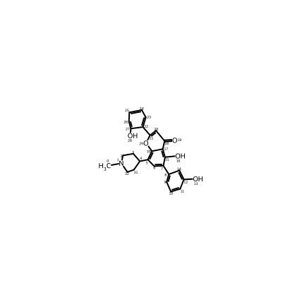 CN1CCC(c2cc(-c3cccc(O)c3)c(O)c3c(=O)cc(-c4ccccc4O)oc23)CC1